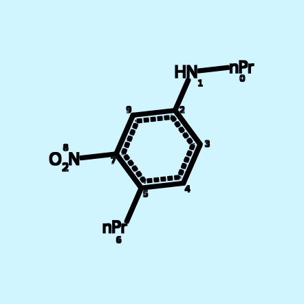 CCCNc1ccc(CCC)c([N+](=O)[O-])c1